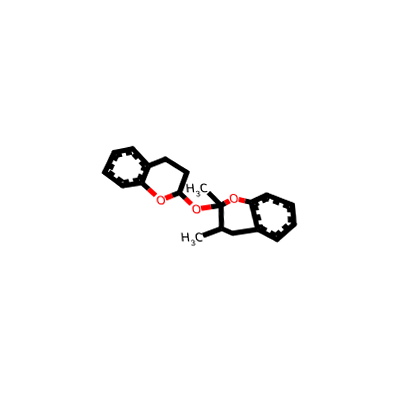 CC1Cc2ccccc2OC1(C)OC1CCc2ccccc2O1